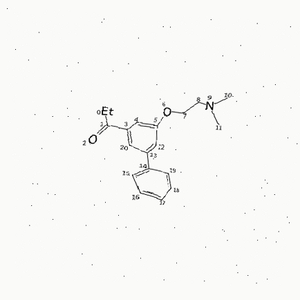 CCC(=O)c1cc(OCCN(C)C)cc(-c2ccccc2)c1